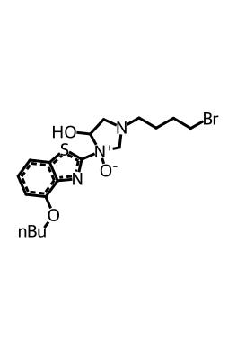 CCCCOc1cccc2sc([N+]3([O-])CN(CCCCBr)CC3O)nc12